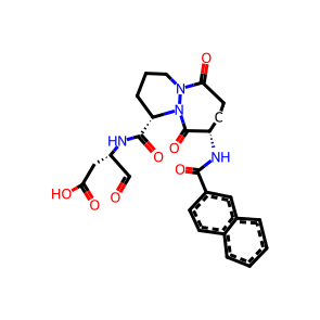 O=C[C@H](CC(=O)O)NC(=O)[C@@H]1CCCN2C(=O)CC[C@H](NC(=O)c3ccc4ccccc4c3)C(=O)N12